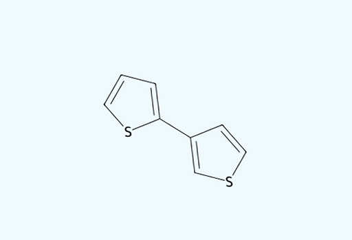 c1csc(-c2ccsc2)c1